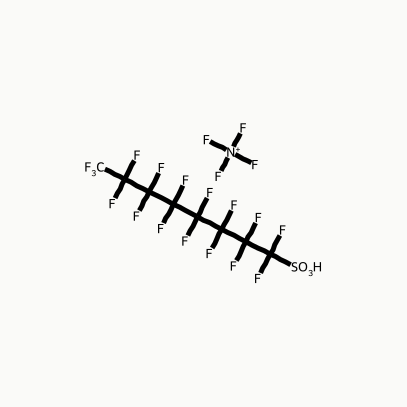 F[N+](F)(F)F.O=S(=O)(O)C(F)(F)C(F)(F)C(F)(F)C(F)(F)C(F)(F)C(F)(F)C(F)(F)C(F)(F)F